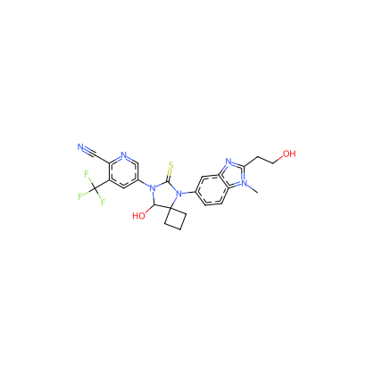 Cn1c(CCO)nc2cc(N3C(=S)N(c4cnc(C#N)c(C(F)(F)F)c4)C(O)C34CCC4)ccc21